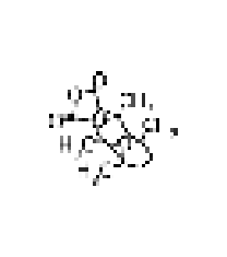 CC12CCC(C)(O1)C1C2C2(C)OC1(C)C1C(=O)OC(=O)C12